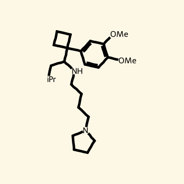 COc1ccc(C2(C(CC(C)C)NCCCCN3CCCC3)CCC2)cc1OC